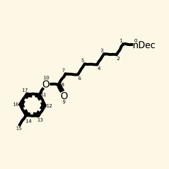 CCCCCCCCCCCCCCCCCC(=O)Oc1ccc(C)cc1